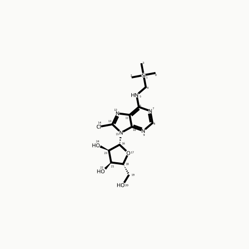 C[Si](C)(C)CNc1ncnc2c1nc(Cl)n2[C@@H]1O[C@H](CO)[C@@H](O)[C@H]1O